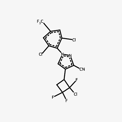 N#Cc1nn(-c2c(Cl)cc(C(F)(F)F)cc2Cl)cc1C1CC(F)(F)C1(F)Cl